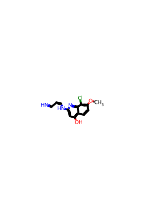 COc1ccc2c(O)cc(N/C=C\C=N)nc2c1Cl